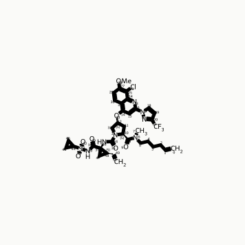 C=CCCCCN(C)C(=O)[C@@H]1C[C@H](Oc2cc(-n3ccc(C(F)(F)F)n3)nc3c(Cl)c(OC)ccc23)CN1C(=O)N[C@]1(C(=O)NS(=O)(=O)C2CC2)C[C@H]1C=C